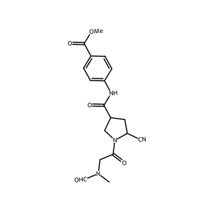 COC(=O)c1ccc(NC(=O)C2CC(C#N)N(C(=O)CN(C)C=O)C2)cc1